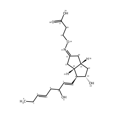 CC/C=C/CC(O)C=C[C@H]1[C@@H]2CC(=NOCCC(=O)O)C[C@@H]2C[C@@H]1O